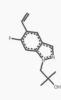 C=Cc1cc2cnn(CC(C)(C)O)c2cc1F